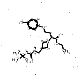 CCOC(=O)C(CCOc1ccc(Cl)cc1)N1CC(CNC(=O)OC(C)(C)C)C1